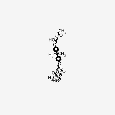 C=CC(=O)OCC(O)COc1ccc(C(C)(C)c2ccc(OCC(COC(=O)C=C)OC(=O)OOOOO)cc2)cc1